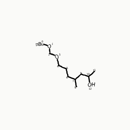 CCCCOCOCCCC(C)CC(C)O